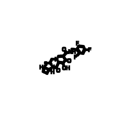 O=C(NCc1c(F)cc(F)cc1F)c1cn2c(c(O)c1=O)C(=O)N1C(C2)S[C@@H]2CC[C@@H]21